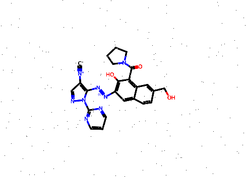 [C-]#[N+]c1cnn(-c2ncccn2)c1/N=N/c1cc2ccc(CO)cc2c(C(=O)N2CCCC2)c1O